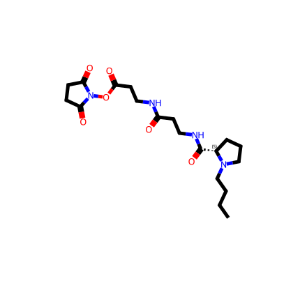 CCCCN1CCC[C@H]1C(=O)NCCC(=O)NCCC(=O)ON1C(=O)CCC1=O